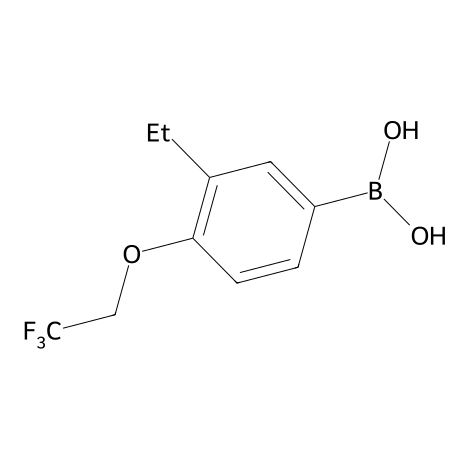 CCc1cc(B(O)O)ccc1OCC(F)(F)F